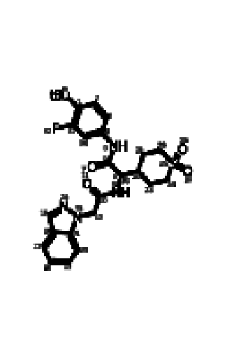 CC(C)(C)c1ccc(NC(=O)[C@H](NC(=O)Cn2ncc3ccccc32)C2CCS(=O)(=O)CC2)cc1F